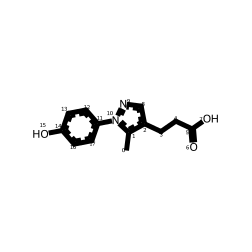 Cc1c(CCC(=O)O)cnn1-c1ccc(O)cc1